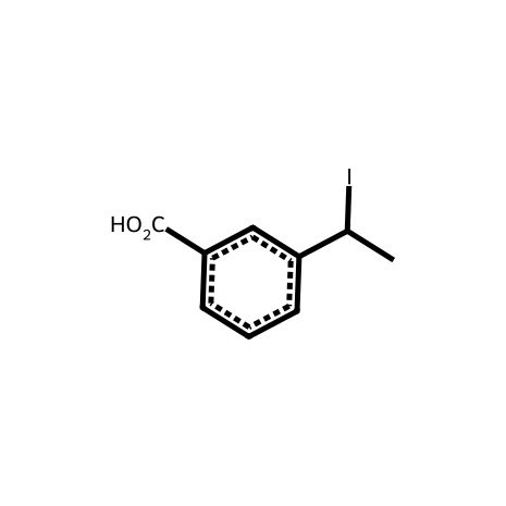 CC(I)c1cccc(C(=O)O)c1